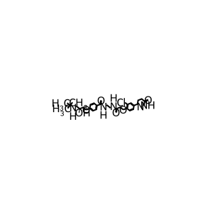 CC(C)(C)NC[C@H](O)COc1ccc(C(=O)NCCNC(=O)COc2ccc(C3=NNC(=O)CC3)cc2Cl)cc1